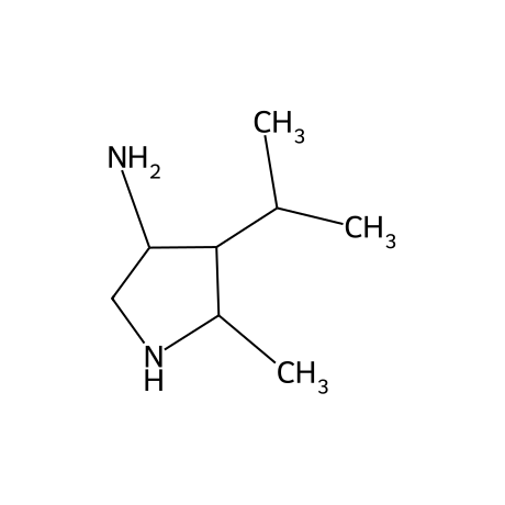 CC(C)C1C(N)CNC1C